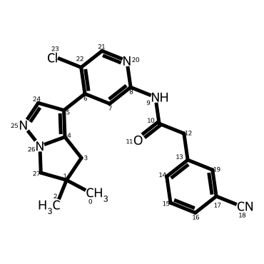 CC1(C)Cc2c(-c3cc(NC(=O)Cc4cccc(C#N)c4)ncc3Cl)cnn2C1